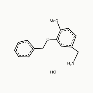 COc1ccc(CN)cc1OCc1ccccc1.Cl